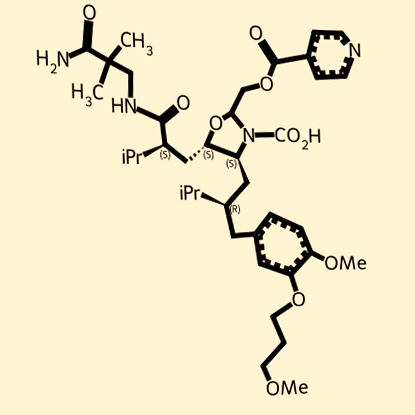 COCCCOc1cc(C[C@H](C[C@H]2[C@H](C[C@H](C(=O)NCC(C)(C)C(N)=O)C(C)C)OC(COC(=O)c3ccncc3)N2C(=O)O)C(C)C)ccc1OC